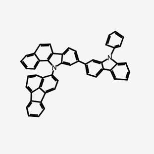 c1ccc(-n2c3ccccc3c3ccc(-c4ccc5c6ccc7ccccc7c6n(-c6ccc7c8c(cccc68)-c6ccccc6-7)c5c4)cc32)cc1